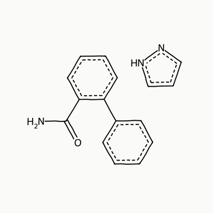 NC(=O)c1ccccc1-c1ccccc1.c1cn[nH]c1